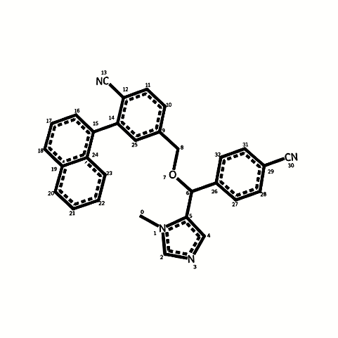 Cn1cncc1C(OCc1ccc(C#N)c(-c2cccc3ccccc23)c1)c1ccc(C#N)cc1